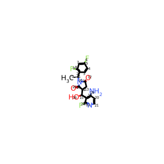 C[C@@H](c1ccc(F)cc1F)N1C(=O)CC(C(O)c2c(N)ccnc2F)C1=O